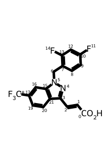 O=C(O)/C=C/c1nn(Cc2ccc(F)cc2F)c2cc(C(F)(F)F)ccc12